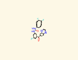 O=C(Nc1cc(F)cc(C(=O)c2ccc3nccnc3c2)c1)Nc1ccc(F)c(F)c1